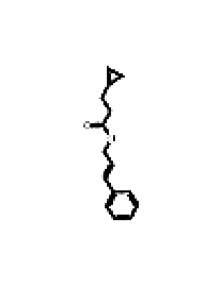 O=C(CCC1CC1)OCC=Cc1ccccc1